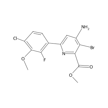 COC(=O)c1nc(-c2ccc(Cl)c(OC)c2F)cc(N)c1Br